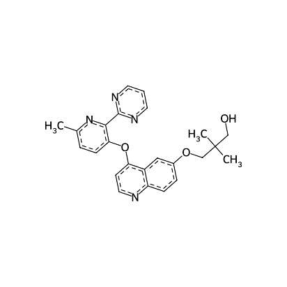 Cc1ccc(Oc2ccnc3ccc(OCC(C)(C)CO)cc23)c(-c2ncccn2)n1